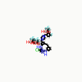 Fc1ccc(CN2CCN(Cc3cc4cc(c3)Nc3nc(ncc3Cl)Nc3cccc(c3)CC4)CC2)cc1.O=C(O)C(F)(F)F.O=C(O)C(F)(F)F.O=C(O)C(F)(F)F